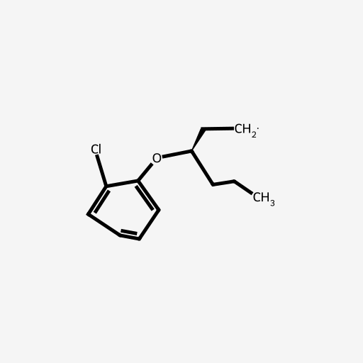 [CH2]C[C@@H](CCC)Oc1ccccc1Cl